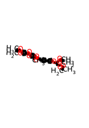 C=C(C)C(=O)OCCC(COC(=O)C(=C)C)COc1ccc(-c2ccc(/C=C/C(=O)Oc3ccc(OC(=O)c4ccc(OC(=O)C(=C)C)cc4)cc3C)cc2)cc1